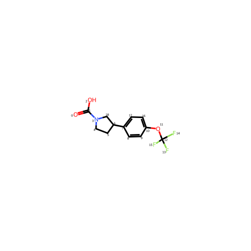 O=C(O)N1CCC(c2ccc(OC(F)(F)F)cc2)C1